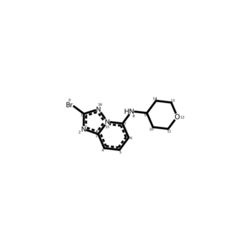 Brc1nc2cccc(NC3CCOCC3)n2n1